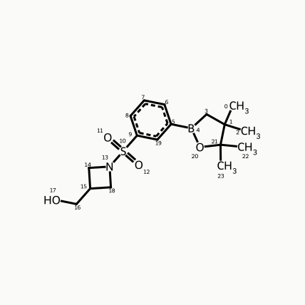 CC1(C)CB(c2cccc(S(=O)(=O)N3CC(CO)C3)c2)OC1(C)C